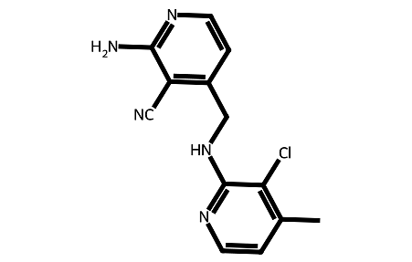 Cc1ccnc(NCc2ccnc(N)c2C#N)c1Cl